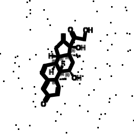 C=C1C[C@H]2[C@@H]3C=CC4=CC(=O)C=C[C@]4(C)[C@@]3(F)[C@@H](O)C[C@]2(C)[C@@]1(O)C(=O)CO